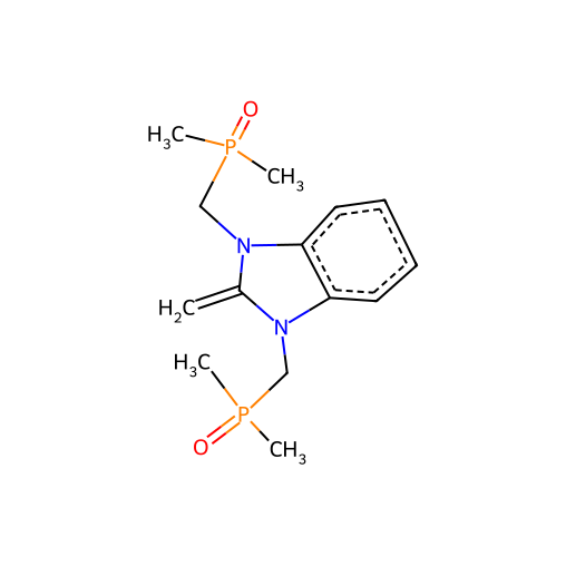 C=C1N(CP(C)(C)=O)c2ccccc2N1CP(C)(C)=O